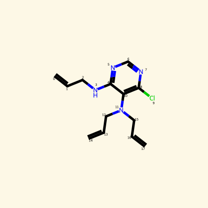 C=CCNc1ncnc(Cl)c1N(CC=C)CC=C